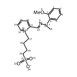 COc1ccccc1N(C)/N=C/c1cccc[n+]1CCCCS(=O)(=O)[O-]